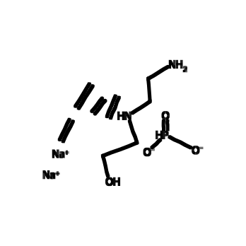 C=C.C=C.C=C.C=C.NCCNCCO.O=[PH]([O-])[O-].[Na+].[Na+]